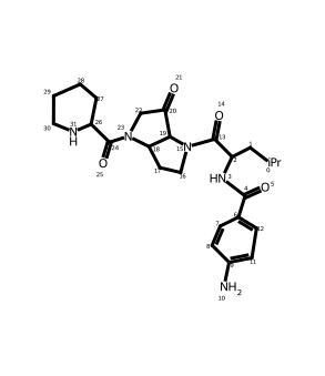 CC(C)CC(NC(=O)c1ccc(N)cc1)C(=O)N1CCC2C1C(=O)CN2C(=O)C1CCCCN1